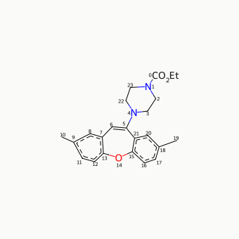 CCOC(=O)N1CCN(C2=Cc3cc(C)ccc3Oc3ccc(C)cc32)CC1